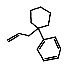 C=CCC1(c2cc[c]cc2)CCCCC1